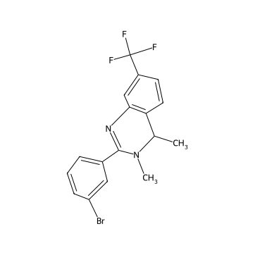 CC1c2ccc(C(F)(F)F)cc2N=C(c2cccc(Br)c2)N1C